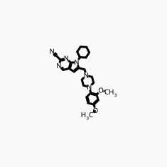 COc1ccc(N2CCN(Cc3cc4cnc(C#N)nc4n3C3CCCCC3)CC2)c(OC)c1